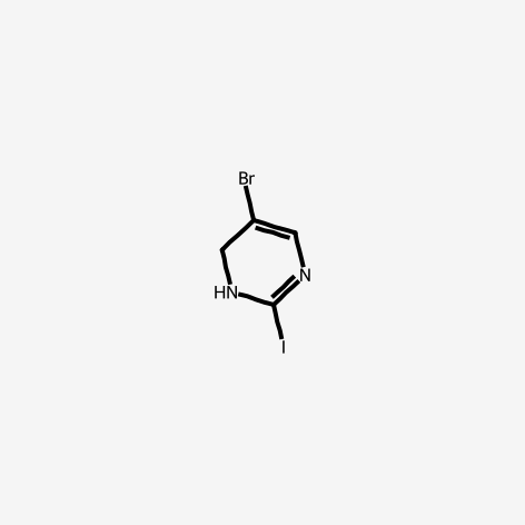 BrC1=CN=C(I)NC1